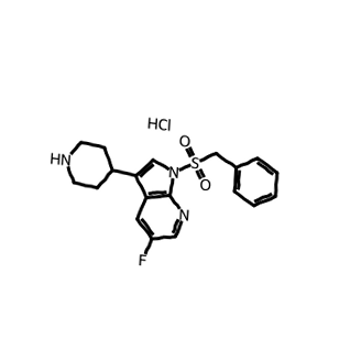 Cl.O=S(=O)(Cc1ccccc1)n1cc(C2CCNCC2)c2cc(F)cnc21